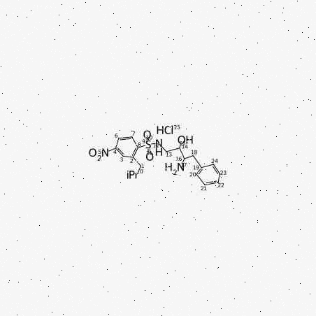 CC(C)Cc1cc([N+](=O)[O-])ccc1S(=O)(=O)NCC(O)C(N)Cc1ccccc1.Cl